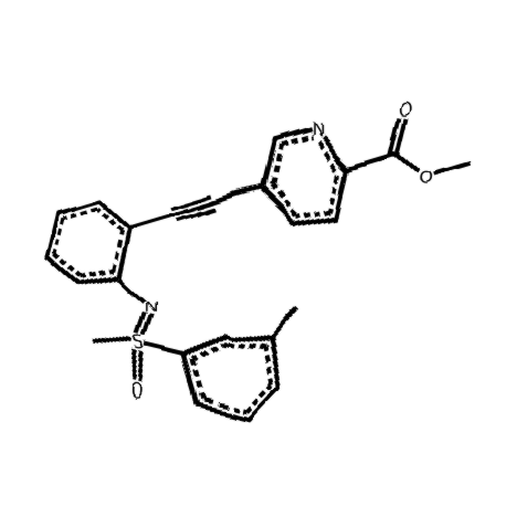 COC(=O)c1ccc(C#Cc2ccccc2N=S(C)(=O)c2cccc(C)c2)cn1